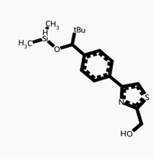 C[SiH](C)OC(c1ccc(-c2csc(CO)n2)cc1)C(C)(C)C